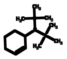 CS(C)(C)N(C1C=CCCC1)S(C)(C)C